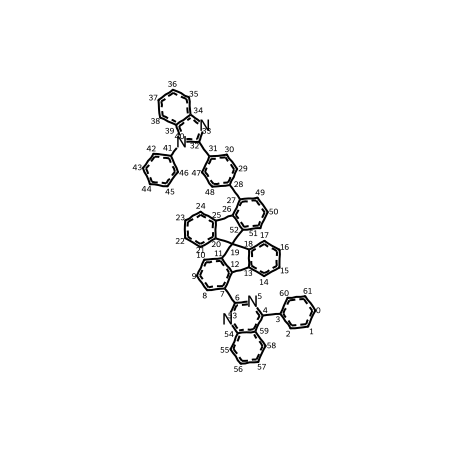 c1ccc(-c2nc(-c3cccc4c3-c3ccccc3C43c4ccccc4-c4c(-c5ccc(-c6nc7ccccc7n6-c6ccccc6)cc5)cccc43)nc3ccccc23)cc1